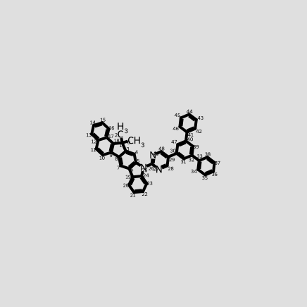 CC1(C)c2cc3c(cc2-c2ccc4ccccc4c21)c1ccccc1n3-c1ncc(-c2cc(-c3ccccc3)cc(-c3ccccc3)c2)cn1